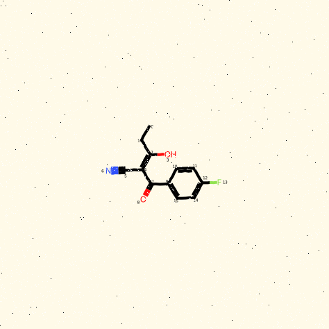 CCC(O)=C(C#N)C(=O)c1ccc(F)cc1